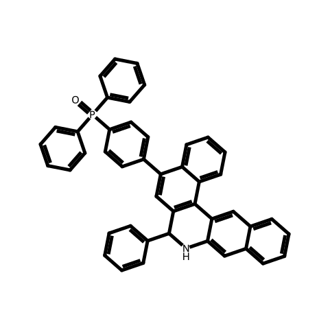 O=P(c1ccccc1)(c1ccccc1)c1ccc(-c2cc3c(c4ccccc24)-c2cc4ccccc4cc2NC3c2ccccc2)cc1